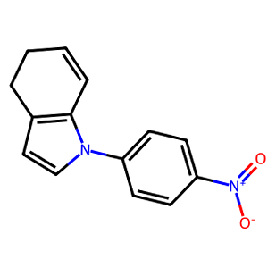 O=[N+]([O-])c1ccc(-n2ccc3c2C=CCC3)cc1